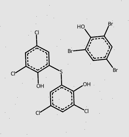 Oc1c(Br)cc(Br)cc1Br.Oc1c(Cl)cc(Cl)cc1Sc1cc(Cl)cc(Cl)c1O